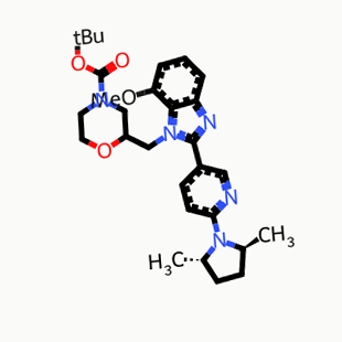 COc1cccc2nc(-c3ccc(N4[C@@H](C)CC[C@@H]4C)nc3)n(CC3CN(C(=O)OC(C)(C)C)CCO3)c12